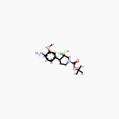 COc1cc(C2CCN(C(=O)OC(C)(C)C)CC2(F)F)ccc1N